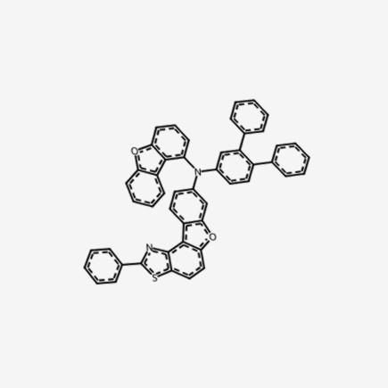 c1ccc(-c2nc3c(ccc4oc5cc(N(c6ccc(-c7ccccc7)c(-c7ccccc7)c6)c6cccc7oc8ccccc8c67)ccc5c43)s2)cc1